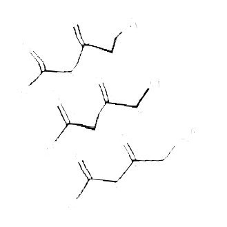 CCC(=O)CC(=O)[O-].CCC(=O)CC(=O)[O-].CCC(=O)CC(=O)[O-].[In+3]